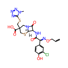 C=CCON=C(C(=O)NC1C(=O)N2CC(CSc3nnnn3C)(C(=O)O)CS[C@H]12)c1ccc(O)c(Cl)c1